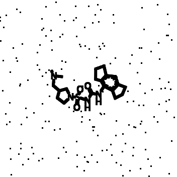 CN(C)CC1CCN(S(=O)(=O)NC(=O)Nc2c3c(cc4c2CCC4)CCC3)C1